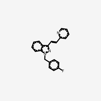 Fc1ccc(Cn2nc(C=Cc3ccccn3)c3ccccc32)cc1